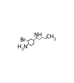 C=CCCC(=N)c1ccc(N)c(Br)c1